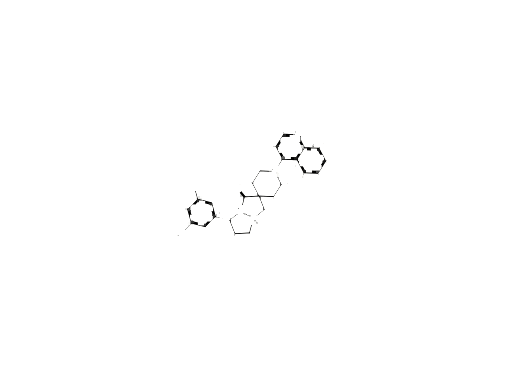 O=C1N2[C@H](c3cc(F)cc(F)c3)CCN2CC12CCN(c1ccnc3ccccc13)CC2